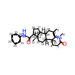 CC1=C2N(C)C(=O)CC[C@]2(C)[C@@H]2CC[C@]3(C)C(C(=O)Nc4ccccc4)CC[C@H]3[C@@H]2C1